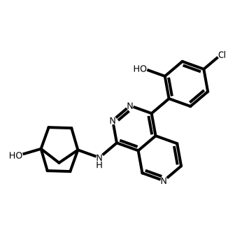 Oc1cc(Cl)ccc1-c1nnc(NC23CCC(O)(CC2)C3)c2cnccc12